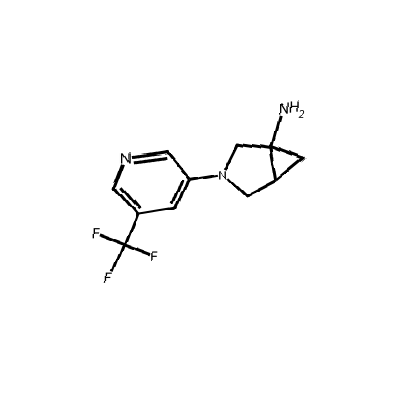 NC12CC1CN(c1cncc(C(F)(F)F)c1)C2